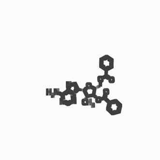 C[C@H]1[C@H](OC(=O)c2ccccc2)[C@@H](COC(=O)c2ccccc2)O[C@H]1c1cnc2c(N)ncnn12